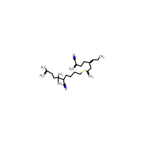 C=C(C)CCC(C)(C)C(C#N)CCCCSC(=C)C/C(=C\CC)CCC(=C)C#N